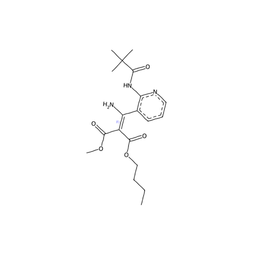 CCCCOC(=O)/C(C(=O)OC)=C(/N)c1cccnc1NC(=O)C(C)(C)C